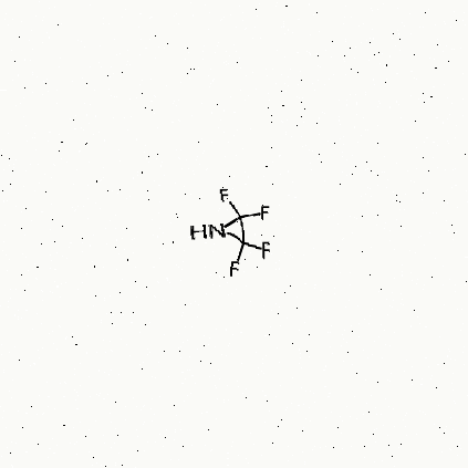 FC1(F)NC1(F)F